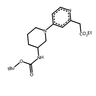 CCOC(=O)Cc1cc(N2CCCC(NC(=O)OC(C)(C)C)C2)ccn1